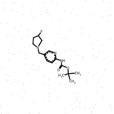 CC(C)(C)OC(=O)Nc1ccc(CN2CCC(F)C2)cn1